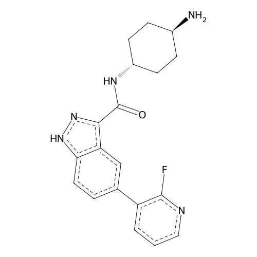 N[C@H]1CC[C@H](NC(=O)c2n[nH]c3ccc(-c4cccnc4F)cc23)CC1